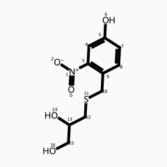 O=[N+]([O-])c1cc(O)ccc1CSCC(O)CO